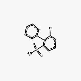 CCc1cccc(S(N)(=O)=O)c1-c1ccccc1